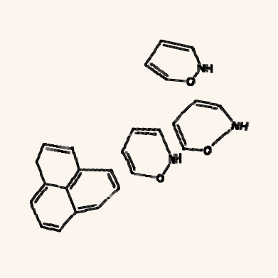 C1=CNOC=C1.C1=CNOC=C1.C1=CNOC=C1.C1=Cc2cccc3cccc(c23)C1